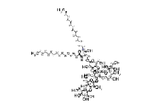 CCCCCCCCCCCCCCC/C=C/[C@@H](O)[C@H](CO[C@@H]1OC(CO)[C@@H](O[C@@H]2OC(CO)[C@H](O[C@@H]3OC(CO)[C@H](O)[C@H](O[C@@H]4OC(CO)[C@H](O)[C@H](O)C4O)C3C)[C@H](OC3C[C@@H](O)[C@@H](C)C([C@H](O)[C@H](O)CO)O3)C2O)[C@H](O)C1O)NC(=O)CCCCCCCCCCCCCCC